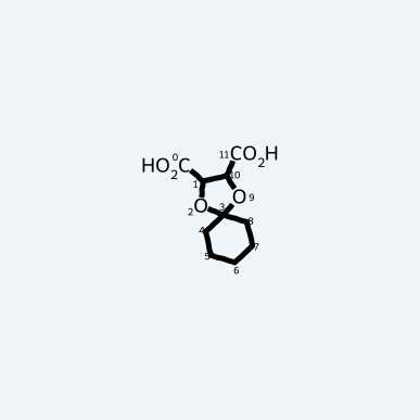 O=C(O)C1OC2(CCCCC2)OC1C(=O)O